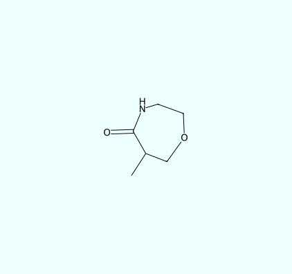 CC1COCCNC1=O